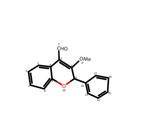 COC1=C(C=O)c2ccccc2OC1c1ccccc1